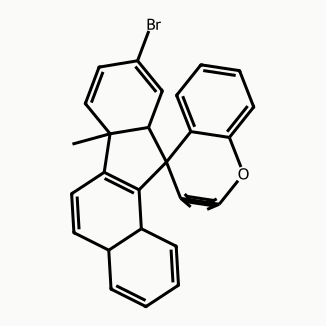 CC12C=CC(Br)=CC1C1(C3=C2C=CC2C=CC=CC32)c2ccccc2Oc2ccccc21